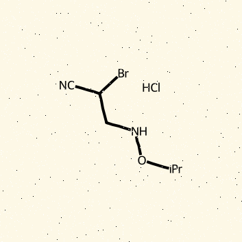 CC(C)ONCC(Br)C#N.Cl